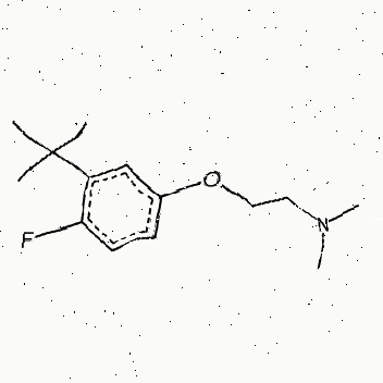 CN(C)CCOc1ccc(F)c(C(C)(C)C)c1